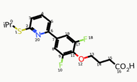 CC(C)Sc1cccc(-c2cc(F)c(OCCCC(=O)O)c(F)c2)n1